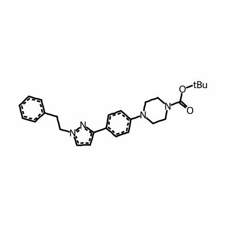 CC(C)(C)OC(=O)N1CCN(c2ccc(-c3ccn(CCc4ccccc4)n3)cc2)CC1